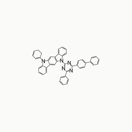 C1=CCCC(n2c3ccccc3c3cc4c(cc32)c2ccccc2n4-c2nc(-c3ccccc3)nc(-c3ccc(-c4ccccc4)cc3)n2)=C1